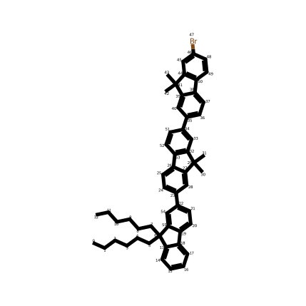 CCCCCCC1(CCCCCC)c2ccccc2-c2ccc(-c3ccc4c(c3)C(C)(C)c3cc(-c5ccc6c(c5)C(C)(C)c5cc(Br)ccc5-6)ccc3-4)cc21